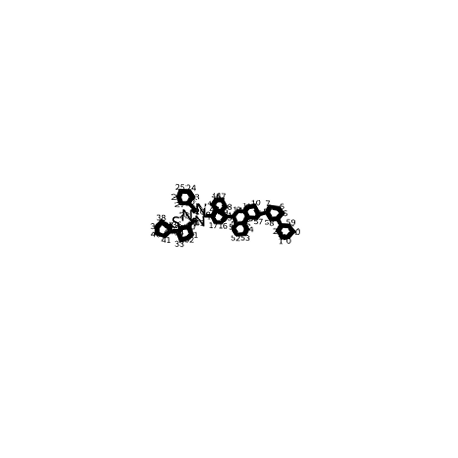 c1ccc(-c2cccc(-c3ccc4cc(-c5ccc(-c6nc(-c7ccccc7)nc(-c7cccc8c7sc7ccccc78)n6)c6ccccc56)c5ccccc5c4c3)c2)cc1